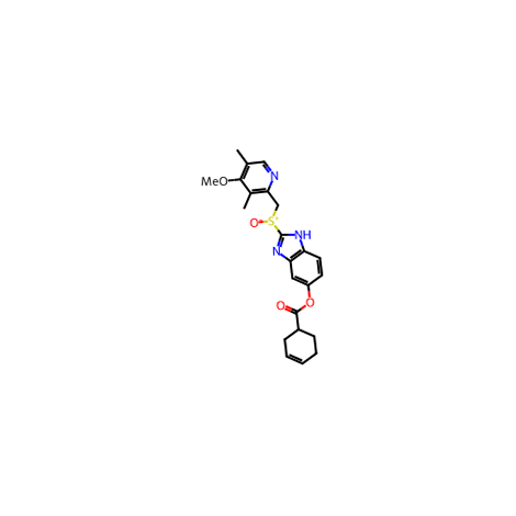 COc1c(C)cnc(C[S+]([O-])c2nc3cc(OC(=O)C4CC=CCC4)ccc3[nH]2)c1C